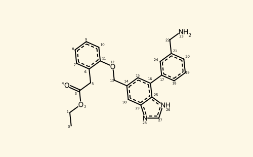 CCOC(=O)Cc1ccccc1OCc1cc(-c2cccc(CN)c2)c2[nH]cnc2c1